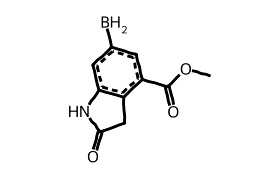 Bc1cc2c(c(C(=O)OC)c1)CC(=O)N2